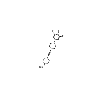 CCCCC1CCC(C#CC2CCC(c3cc(F)c(F)c(F)c3)CC2)CC1